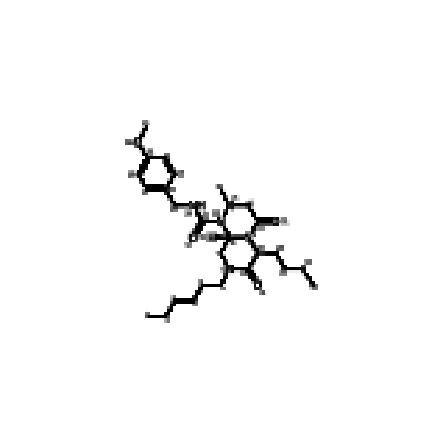 CCCCCCN1C[C@H]2N(C(=O)CN(C)N2C(=O)NCc2ccc(OC)cc2)[C@@H](CCSC)C1=O